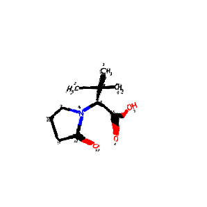 CC(C)(C)[C@@H](C(=O)O)N1CCCC1=O